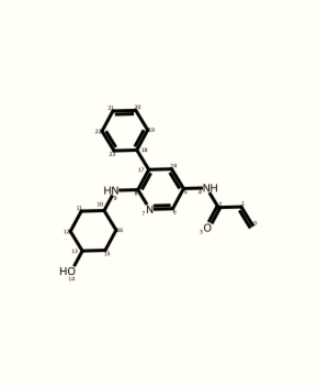 C=CC(=O)Nc1cnc(NC2CCC(O)CC2)c(-c2ccccc2)c1